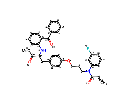 C=CC(=O)N(CCCOc1ccc(CC(Nc2ccccc2C(=O)c2ccccc2)C(=O)OC)cc1)c1cccc(F)c1